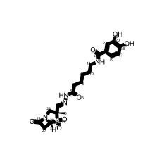 C[C@]1(/C=N/NC(=O)CCCCCNC(=O)c2ccc(O)c(O)c2)CN2C(=O)C[C@H]2S1(=O)=O